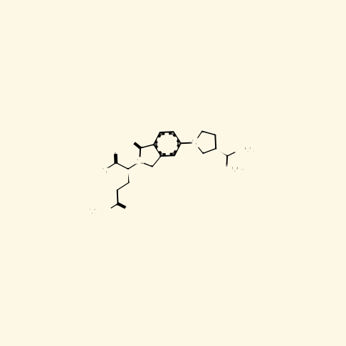 COC(=O)CC[C@@H](C(N)=O)N1Cc2cc(N3CC[C@@H](C(OC)OC)C3)ccc2C1=O